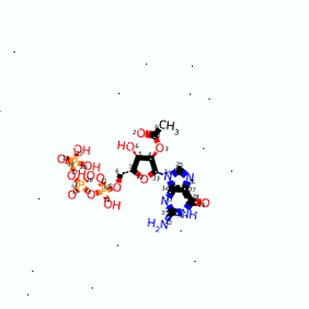 CC(=O)O[C@@H]1[C@@H](O)[C@@H](COP(=O)(O)OP(=O)(O)OP(=O)(O)O)O[C@H]1n1cnc2c(=O)[nH]c(N)nc21